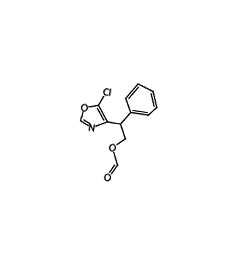 O=COCC(c1ccccc1)c1ncoc1Cl